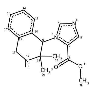 COC(=O)c1cncn1C1c2ccccc2CNC1(C)C